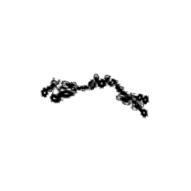 O=C(NCC[C@H](C(=O)O)N(OCCOCCN1CCN(C(=O)c2cccc(C(=O)N3CCN(CCOCCON(Sc4ccc(-c5ccccc5)cc4)[C@H](CCNC(=O)OCc4ccccc4)C(=O)O)CC3)c2)CC1)Sc1ccc(-c2ccccc2)cc1)OCc1ccccc1